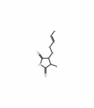 C/C=C/CCC1C(=O)OC(=O)C1C